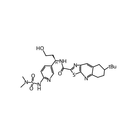 CN(C)S(=O)(=O)Nc1ccc([C@@H](CCO)NC(=O)c2nc3cc4c(nc3s2)CCC(C(C)(C)C)C4)cn1